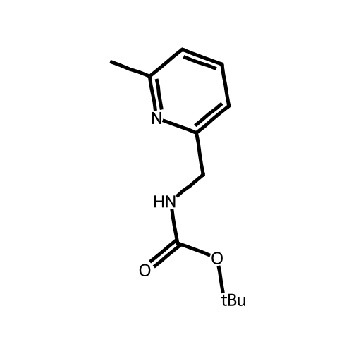 Cc1cccc(CNC(=O)OC(C)(C)C)n1